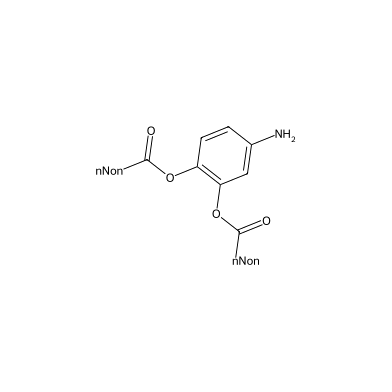 CCCCCCCCCC(=O)Oc1ccc(N)cc1OC(=O)CCCCCCCCC